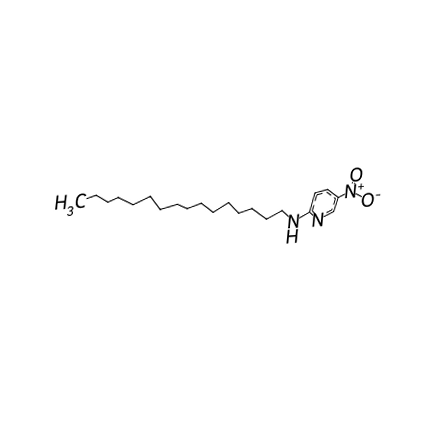 CCCCCCCCCCCCCCCCNc1ccc([N+](=O)[O-])cn1